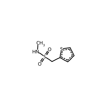 CNS(=O)(=O)Cc1cccs1